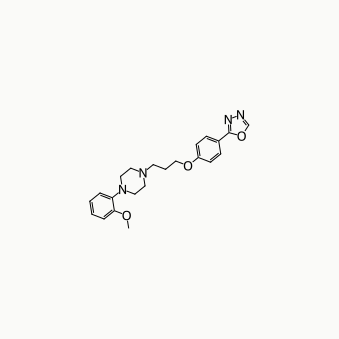 COc1ccccc1N1CCN(CCCOc2ccc(-c3nnco3)cc2)CC1